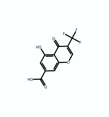 O=C(O)c1cc(O)c2c(=O)c(C(F)(F)F)coc2c1